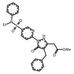 CCN(c1ccccc1)S(=O)(=O)c1ccc(-n2[nH]c(CC(=O)OC)c(Cc3ccccc3)c2=O)nc1